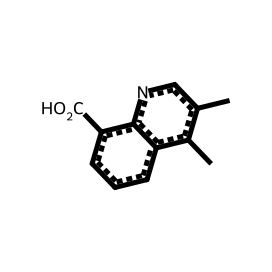 Cc1cnc2c(C(=O)O)cccc2c1C